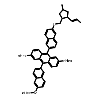 C/C=C/C1CC(C)CC1COc1ccc2cc(-c3c4ccc(CCCCCC)cc4c(-c4ccc5cc(OCCCCCC)ccc5c4)c4ccc(CCCCCC)cc34)ccc2c1